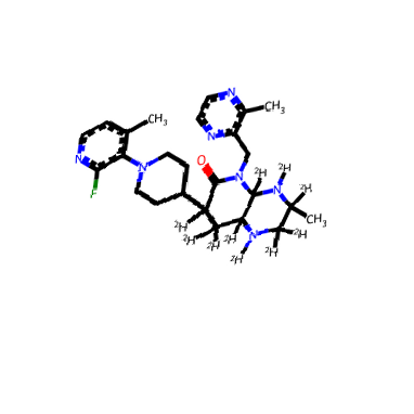 [2H]N1C([2H])(C)C([2H])([2H])N([2H])C2([2H])C1([2H])N(Cc1nccnc1C)C(=O)C([2H])(C1CCN(c3c(C)ccnc3F)CC1)C2([2H])[2H]